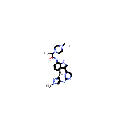 Cc1nn(C)cc1Nc1nccc(-c2c[nH]c3c(NC(=O)C(C)N4CCN(C)CC4)cccc23)n1